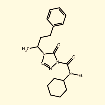 CCN(C(=O)n1nnn(C(C)CCc2ccccc2)c1=O)C1CCCCC1